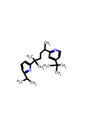 CC(C)c1cccc(C(C)(C)CCC(C)c2cc(C(C)(C)C)ccn2)n1